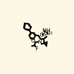 CC(F)C(=O)N1CC2(CC2)C(CS(N)(=O)=O)C1Cc1cccc(-c2ccccc2)c1